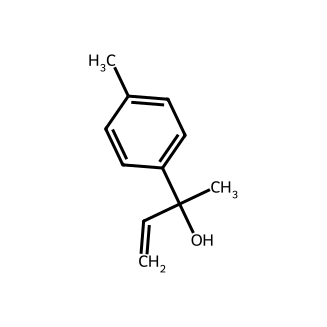 C=CC(C)(O)c1ccc(C)cc1